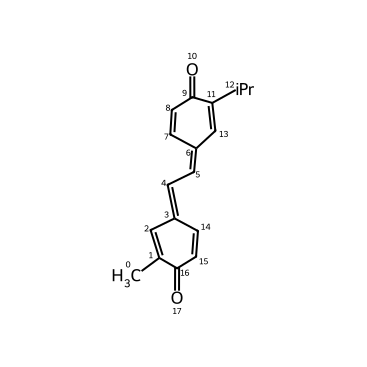 CC1=C/C(=C/C=C2\C=CC(=O)C(C(C)C)=C2)C=CC1=O